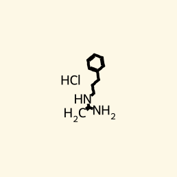 C=C(N)NCCCc1ccccc1.Cl